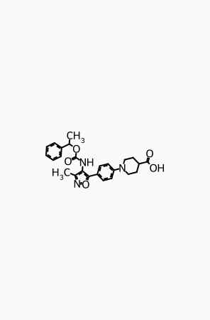 Cc1noc(-c2ccc(N3CCC(C(=O)O)CC3)cc2)c1NC(=O)OC(C)c1ccccc1